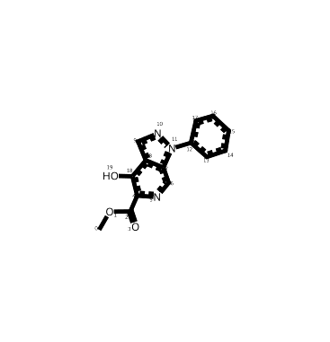 COC(=O)c1ncc2c(cnn2-c2ccccc2)c1O